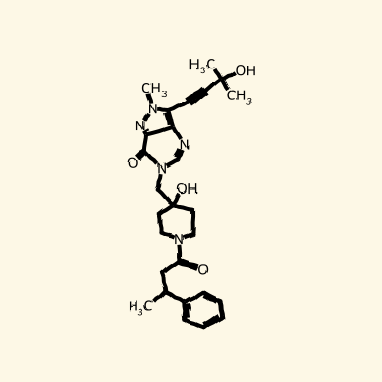 CC(CC(=O)N1CCC(O)(Cn2cnc3c(C#CC(C)(C)O)n(C)nc3c2=O)CC1)c1ccccc1